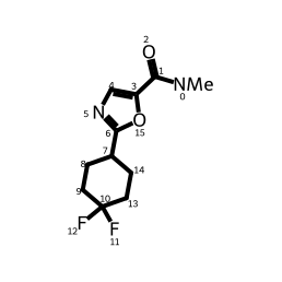 CNC(=O)c1cnc(C2CCC(F)(F)CC2)o1